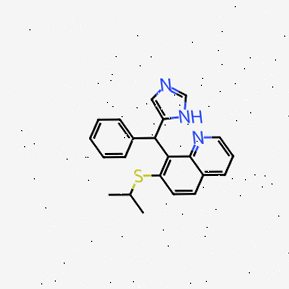 CC(C)Sc1ccc2cccnc2c1C(c1ccccc1)c1cnc[nH]1